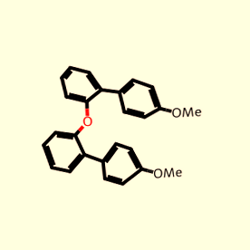 COc1ccc(-c2ccccc2Oc2ccccc2-c2ccc(OC)cc2)cc1